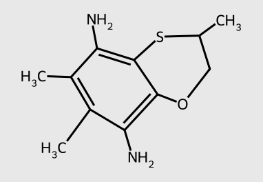 Cc1c(C)c(N)c2c(c1N)OCC(C)S2